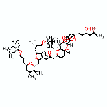 C=C(Br)C[C@H](O)CC[C@@]12CC3OC4[C@@H](O1)C1O[C@@H](CC(=O)C[C@H]5C(C[C@H]6O[C@@H](CCCO[Si](CC)(CC)CC)C[C@@H](C)C6=C)O[C@H](C[C@H](C)CO[Si](C)(C)C(C)(C)C)[C@@H]5C)CC[C@@H]1O[C@H]4[C@H]3O2